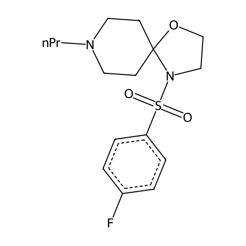 CCCN1CCC2(CC1)OCCN2S(=O)(=O)c1ccc(F)cc1